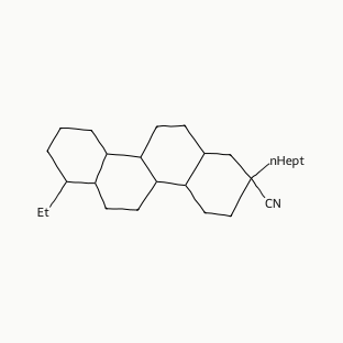 CCCCCCCC1(C#N)CCC2C(CCC3C4CCCC(CC)C4CCC23)C1